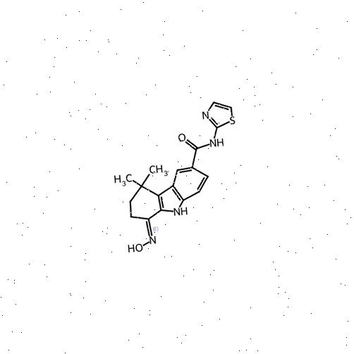 CC1(C)CC/C(=N\O)c2[nH]c3ccc(C(=O)Nc4nccs4)cc3c21